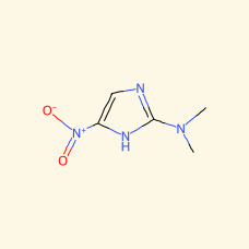 CN(C)c1ncc([N+](=O)[O-])[nH]1